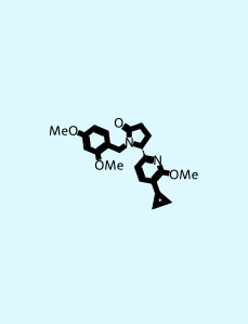 COc1ccc(CN2C(=O)CC[C@@H]2c2ccc(C3CC3)c(OC)n2)c(OC)c1